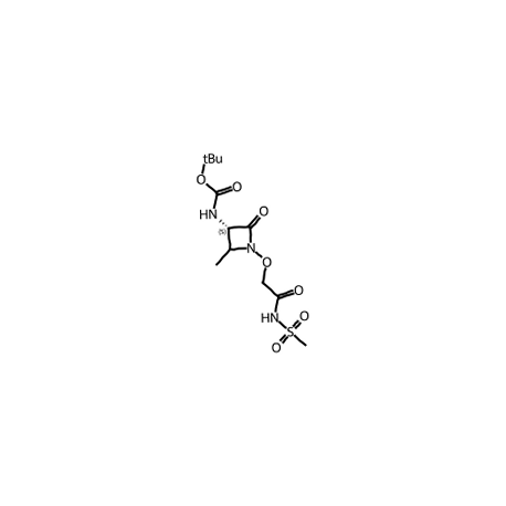 CC1[C@H](NC(=O)OC(C)(C)C)C(=O)N1OCC(=O)NS(C)(=O)=O